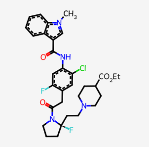 CCOC(=O)C1CCN(CC[C@]2(F)CCCN2C(=O)Cc2cc(Cl)c(NC(=O)c3cn(C)c4ccccc34)cc2F)CC1